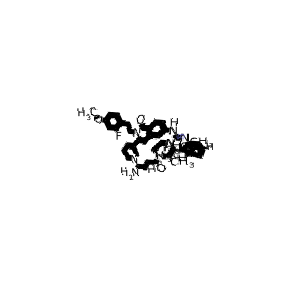 COc1ccc(CCn2c(-c3cccnc3)cc3cc(N/C(=N/C4C[C@@H]5C[C@H]([C@@H]4C)C5(C)C)N4CCN([C@H](O)CCCN)[C@@H](C)C4)ccc3c2=O)c(F)c1